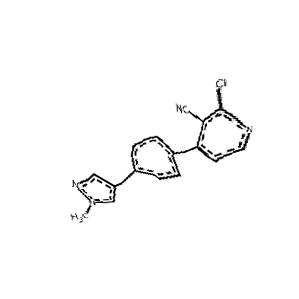 Cn1cc(-c2ccc(-c3ccnc(Cl)c3C#N)cc2)cn1